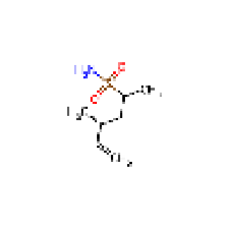 C=C[C@@H](C)CC(C)S(N)(=O)=O